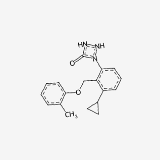 Cc1ccccc1OCc1c(C2CC2)cccc1-n1[nH][nH]c1=O